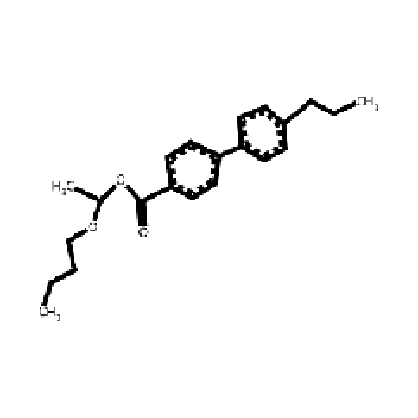 CCCCOC(C)OC(=O)c1ccc(-c2ccc(CCC)cc2)cc1